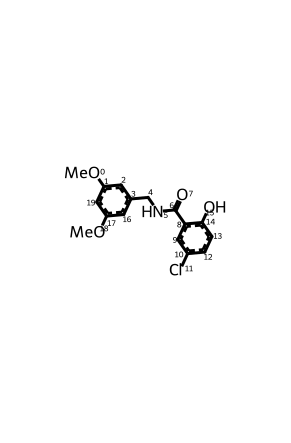 COc1cc(CNC(=O)c2cc(Cl)ccc2O)cc(OC)c1